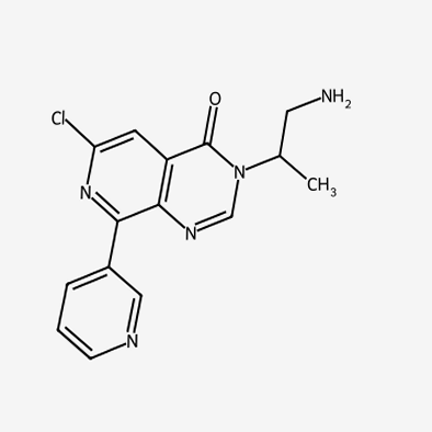 CC(CN)n1cnc2c(-c3cccnc3)nc(Cl)cc2c1=O